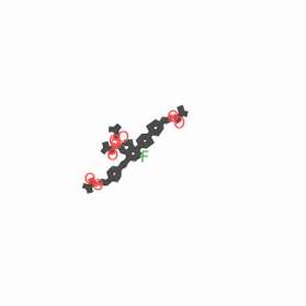 C=C(C)C(=O)O/C=C/c1ccc(C#Cc2cc(F)c(-c3ccc(-c4ccc(/C=C/OC(=O)C(=C)C)cc4)cc3)c(/C=C/OC(=O)C(=C)C)c2/C=C/OC(=O)C(=C)C)cc1